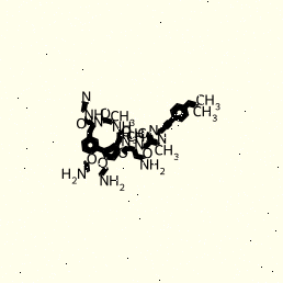 CC(C)=Cc1ccc(C#Cc2nc(C)c(C(=O)NC(CCN)C(=O)N(C)C3C(=O)NC(C)C(=O)NC(C(=O)NCC#N)Cc4ccc(OCCN)c(c4)-c4cc3ccc4OCCN)c(C)n2)cc1